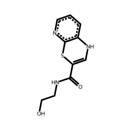 O=C(NCCO)C1=CNc2cccnc2S1